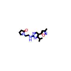 Cc1cc(-c2cnc(NCCN3CCCC3=O)nc2C(C)C)on1